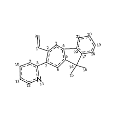 C=Cc1cc2c(cc1-c1ccccn1)C(C)(C)c1ccccc1-2